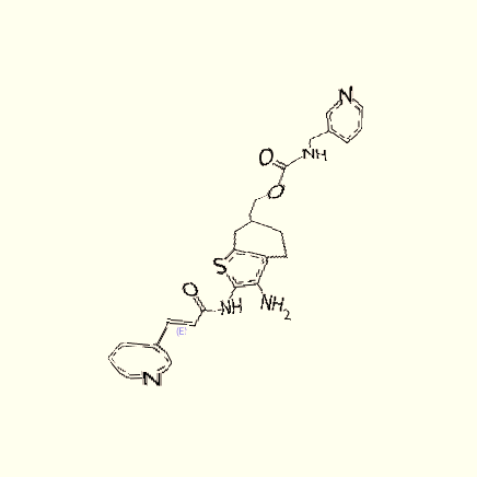 Nc1c(NC(=O)/C=C/c2cccnc2)sc2c1CCC(COC(=O)NCc1cccnc1)C2